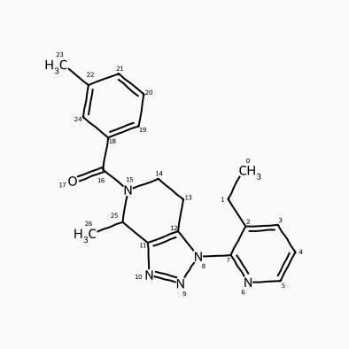 CCc1cccnc1-n1nnc2c1CCN(C(=O)c1cccc(C)c1)C2C